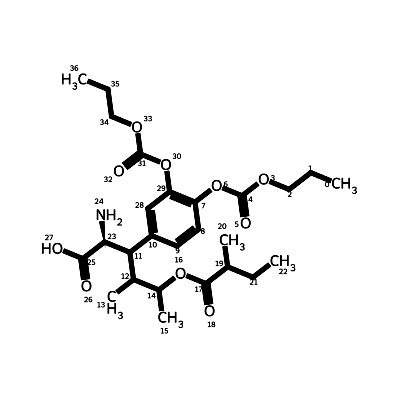 CCCOC(=O)Oc1ccc(C(C(C)C(C)OC(=O)C(C)CC)[C@H](N)C(=O)O)cc1OC(=O)OCCC